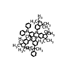 Cc1cc2c(cc1N1c3cc(C(C)(C)c4ccccc4)ccc3B3c4cc5c(cc4N(c4ccc6c(c4)C(C)(C)CC6(C)C)c4cc(N(c6ccccc6)c6ccccc6)cc1c43)C(C)(C)CC5(C)C)C(C)(C)CC2(C)C